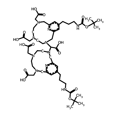 CC(C)(C)OC(=O)NCCCc1cc2nc(c1)CN(C(C(=O)O)N1CCN(CC(=O)O)CCN(CC(=O)O)Cc3cc(CCCNC(=O)OC(C)(C)C)cc(n3)C1)CCN(CC(=O)O)CCN(CC(=O)O)C2